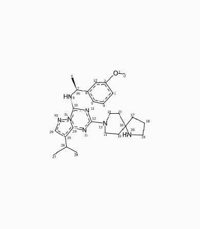 COc1cccc([C@H](C)Nc2nc(N3CCC4(CCCN4)CC3)nc3c(C(C)C)cnn23)c1